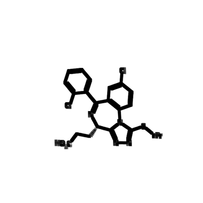 CCCSc1nnc2n1-c1ccc(Cl)cc1C(c1ccccc1Cl)=N[C@H]2CCC(=O)O